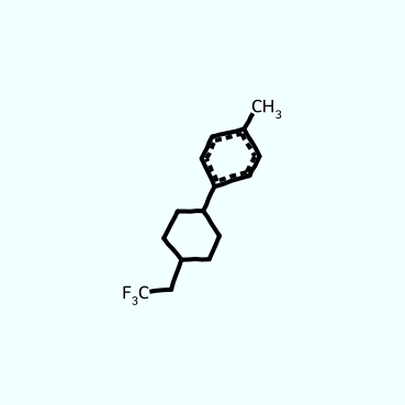 Cc1ccc(C2CCC(CC(F)(F)F)CC2)cc1